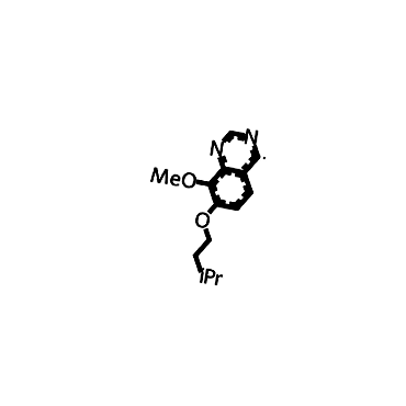 COc1c(OCCC(C)C)ccc2[c]ncnc12